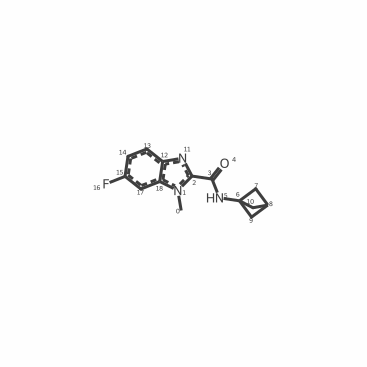 Cn1c(C(=O)NC23CC(C2)C3)nc2ccc(F)cc21